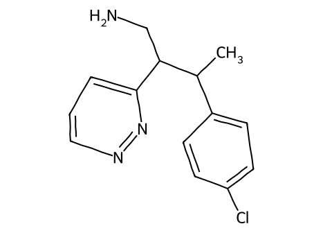 CC(c1ccc(Cl)cc1)C(CN)c1cccnn1